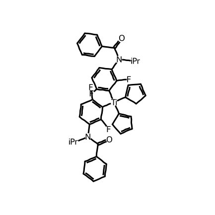 CC(C)N(C(=O)c1ccccc1)c1ccc(F)[c]([Ti]([C]2=CC=CC2)([C]2=CC=CC2)[c]2c(F)ccc(N(C(=O)c3ccccc3)C(C)C)c2F)c1F